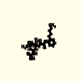 CCCCCc1ccccc1OC(=S)NCC1(C)CC(NC(O)=S)CC(C)(C)C1